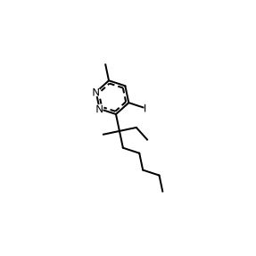 CCCCCC(C)(CC)c1nnc(C)cc1I